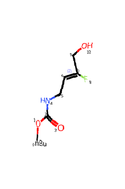 CCCCOC(=O)NC/C=C(\F)CO